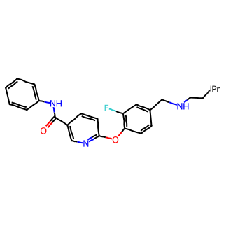 CC(C)CCNCc1ccc(Oc2ccc(C(=O)Nc3ccccc3)cn2)c(F)c1